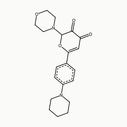 O=C1C=C(c2ccc(N3CCCCC3)cc2)OC(N2CCOCC2)C1=O